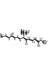 C\C(C=CC[O-])=C/C=C/C=C(C)/C=C/C=C(\C)C[O-].[Na+].[Na+]